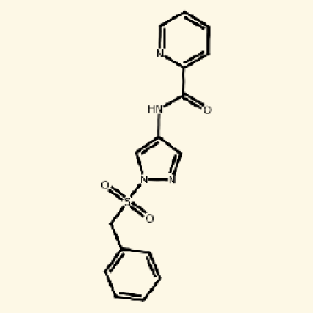 O=C(Nc1cnn(S(=O)(=O)Cc2ccccc2)c1)c1ccccn1